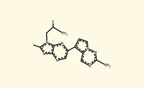 Cc1nc2ncc(-c3ccn4nc(N)ncc34)nc2n1CC(F)P